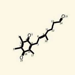 CC1=C(C)C(=O)C(C/C=C(\C)CCCC=O)=C(C)C1=O